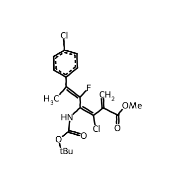 C=C(C(=O)OC)/C(Cl)=C(NC(=O)OC(C)(C)C)\C(F)=C(/C)c1ccc(Cl)cc1